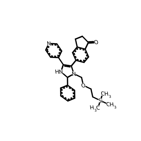 C[Si](C)(C)CCOCN1C(c2ccc3c(c2)CCC3=O)=C(c2ccncc2)NC1c1ccccc1